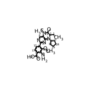 CCC1C(=O)N(C)c2cnc(-c3ccc(C(=O)O)c(N)c3OC)nc2N1C1CCCC1